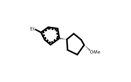 CCc1ccc([C@H]2CC[C@@H](OC)CC2)cc1